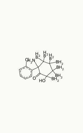 BC1(O)C(=O)C(N)(c2ccccc2Cl)C(B)(B)C(B)(B)C1(B)B